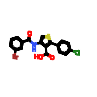 O=C(Nc1csc(-c2ccc(Cl)cc2)c1C(=O)O)c1cccc(Br)c1